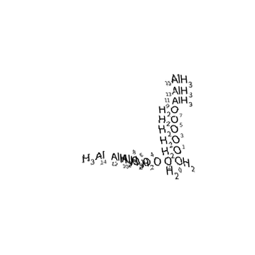 O.O.O.O.O.O.O.O.O.O.[AlH3].[AlH3].[AlH3].[AlH3].[AlH3].[AlH3]